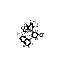 CN1C(=O)C(=NC(Nc2ccc3ccccc3c2)C(Cl)(Cl)Cl)N(c2cccc(C(F)(F)F)c2)C1=O